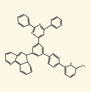 CC1C=CC=C(c2ccc(-c3cc(-c4nc(-c5ccccc5)nc(-c5ccccc5)n4)cc(C4C=c5ccccc5=C5C=CC=CC54)c3)cn2)N1